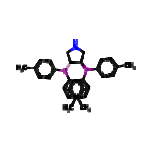 Cc1ccc(P(c2ccc(C)cc2)[C@@H]2CNC[C@H]2P(c2ccc(C)cc2)c2ccc(C)cc2)cc1